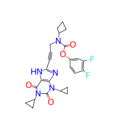 O=C(Oc1ccc(F)c(F)c1)N(CC#Cc1nc2c([nH]1)c(=O)n(C1CC1)c(=O)n2C1CC1)C1CCC1